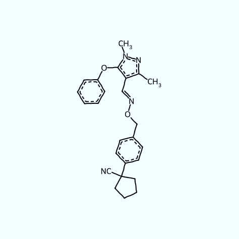 Cc1nn(C)c(Oc2ccccc2)c1C=NOCc1ccc(C2(C#N)CCCC2)cc1